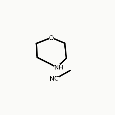 C1COCCN1.CC#N